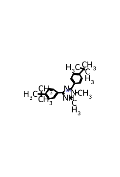 CCN(C)/C(=N\C(=N)c1ccc(C(C)(C)C)cc1)c1ccc(C(C)(C)C)cc1